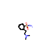 CN(C)CCc1ccccc1S(N)(=O)=O